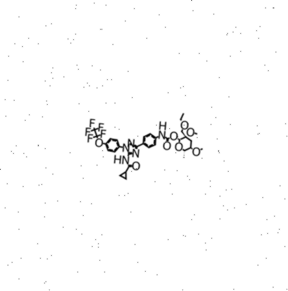 CCOC[C@@]1(OC)C[C@@H](OC)[C@H](C)O[C@H]1OC(=O)Nc1ccc(-c2nc(NC(=O)C3CC3)n(-c3ccc(OC(F)(F)C(F)(F)F)cc3)n2)cc1